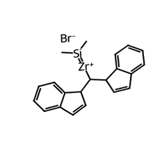 C[Si](C)=[Zr+][CH](C1C=Cc2ccccc21)C1C=Cc2ccccc21.[Br-]